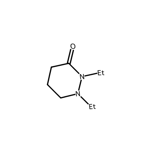 CCN1CCCC(=O)N1CC